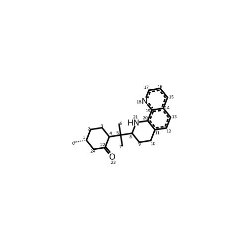 C[C@@H]1CCC(C(C)(C)C2CCc3ccc4cccnc4c3N2)C(=O)C1